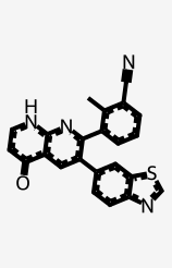 Cc1c(C#N)cccc1-c1nc2[nH]ccc(=O)c2cc1-c1ccc2ncsc2c1